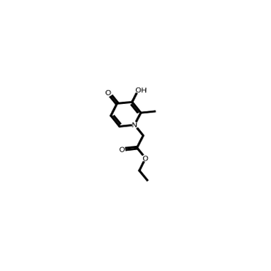 CCOC(=O)Cn1ccc(=O)c(O)c1C